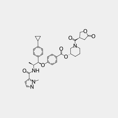 C[C@H](NC(=O)c1ccnn1C)[C@H](Oc1ccc(C(=O)O[C@H]2CCCN(C(=O)[C@H]3COC(=O)C3)C2)cc1)c1ccc(C2CC2)cc1